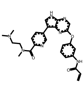 C=CC(=O)Nc1cccc(Oc2cnc3[nH]cc(-c4ccc(C(=O)N(C)CCN(C)C)nc4)c3n2)c1